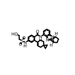 O=C(Nc1cccc2c1nc1n2[C@H]2CC[C@H]1C2)c1ccc(NS(=O)(=O)CCO)cc1C1=CCC2(CC1)CC2